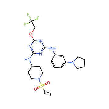 CS(=O)(=O)N1CCC(Nc2nc(Nc3cccc(N4CCCC4)c3)nc(OCC(F)(F)F)n2)CC1